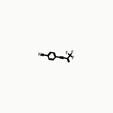 C=C(C#Cc1ccc(C#N)cc1)C(F)(F)F